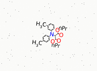 CCCOC(=O)C(C(=O)OCCC)N(c1ccc(C)cc1)c1cccc(C)c1